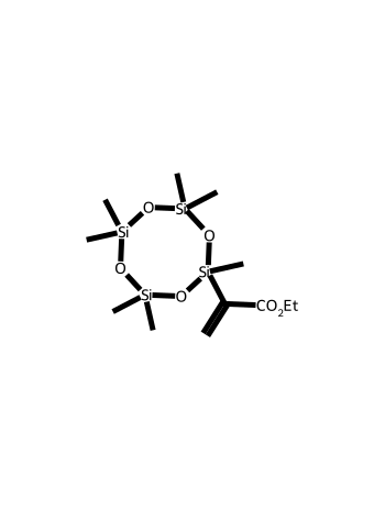 C=C(C(=O)OCC)[Si]1(C)O[Si](C)(C)O[Si](C)(C)O[Si](C)(C)O1